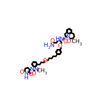 CC1CCc2cccc3c2N(C1=O)[C@H](C(=O)N[C@@H](CCC(N)=O)COCc1ccc(CCCCCOCCCc2cccc4c2n(C)c(=O)n4C2CCC(=O)NC2=O)cc1)C3